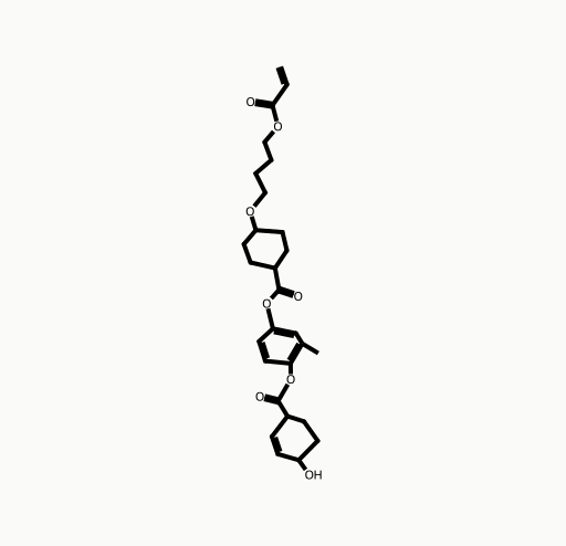 C=CC(=O)OCCCCOC1CCC(C(=O)Oc2ccc(OC(=O)C3C=CC(O)CC3)c(C)c2)CC1